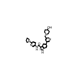 O=C(Nc1ccc(N2CCCC2)nc1)c1n[nH]c2ccc(-c3cncc(CN4CCC(O)CC4)c3)cc12